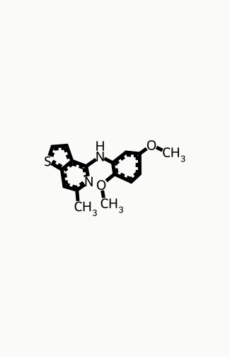 COc1ccc(OC)c(Nc2nc(C)cc3sccc23)c1